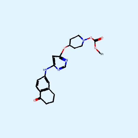 CC(C)OC(=O)ON1CCC(Oc2cc(Nc3ccc4c(c3)CCCC4=O)ncn2)CC1